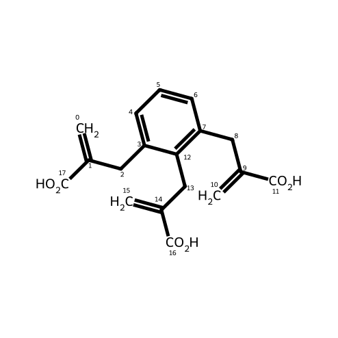 C=C(Cc1cccc(CC(=C)C(=O)O)c1CC(=C)C(=O)O)C(=O)O